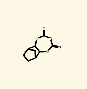 O=C1OC(=O)OC2C3CCC(C3)C2O1